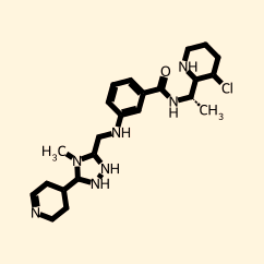 C[C@H](NC(=O)c1cccc(NCC2NNC(C3CC=NCC3)N2C)c1)C1NCCCC1Cl